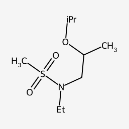 CCN(CC(C)OC(C)C)S(C)(=O)=O